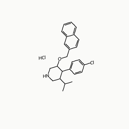 CC(C)C1CNCC(OCc2ccc3ccccc3c2)C1c1ccc(Cl)cc1.Cl